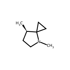 C[C@@H]1CCN(C)C12CC2